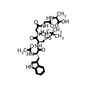 CC(=O)N[C@@H](Cc1c[nH]c2ccccc12)C(=O)N[C@H](CSSC(C)(C)C)C(=O)N(C)CC(=O)NCC(=O)N[C@@H](C)C(=O)O